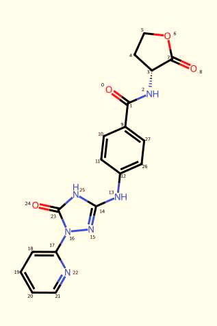 O=C(N[C@@H]1CCOC1=O)c1ccc(Nc2nn(-c3ccccn3)c(=O)[nH]2)cc1